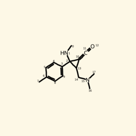 CNC1(c2ccc(C)cc2)C(=C=O)C1CN(C)C